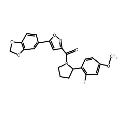 COc1ccc(C2CCCN2C(=O)c2cc(-c3ccc4c(c3)OCO4)on2)c(F)c1